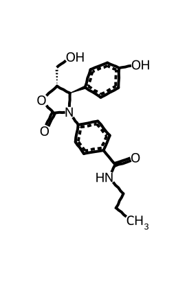 CCCNC(=O)c1ccc(N2C(=O)O[C@H](CO)[C@H]2c2ccc(O)cc2)cc1